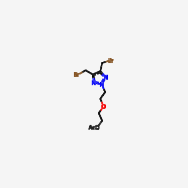 CC(=O)OCCOCCn1nc(CBr)c(CBr)n1